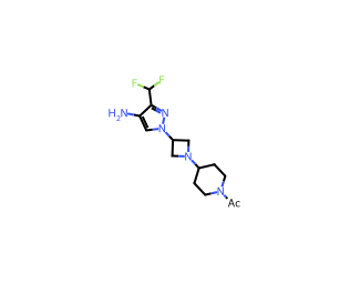 CC(=O)N1CCC(N2CC(n3cc(N)c(C(F)F)n3)C2)CC1